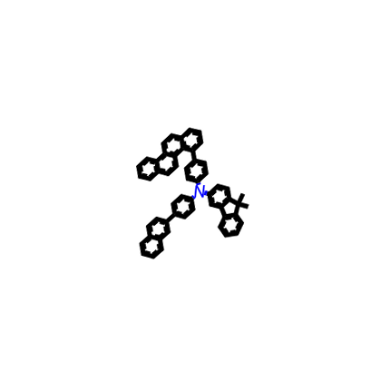 CC1(C)c2ccccc2-c2cc(N(c3ccc(-c4ccc5ccccc5c4)cc3)c3ccc(-c4cccc5ccc6c7ccccc7ccc6c45)cc3)ccc21